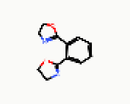 c1ccc(C2=NCCO2)c(C2=NCCO2)c1